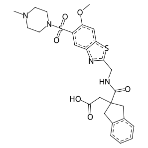 COc1cc2sc(CNC(=O)C3(CC(=O)O)Cc4ccccc4C3)nc2cc1S(=O)(=O)N1CCN(C)CC1